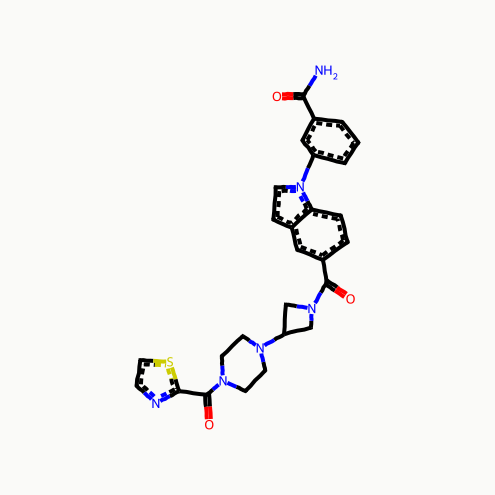 NC(=O)c1cccc(-n2ccc3cc(C(=O)N4CC(N5CCN(C(=O)c6nccs6)CC5)C4)ccc32)c1